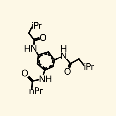 CCCC(=O)Nc1cc(NC(=O)CC(C)C)cc(NC(=O)CC(C)C)c1